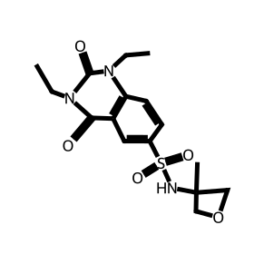 CCn1c(=O)c2cc(S(=O)(=O)NC3(C)COC3)ccc2n(CC)c1=O